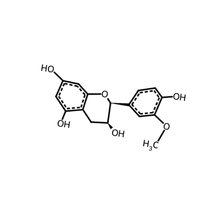 COc1cc([C@@H]2Oc3cc(O)cc(O)c3C[C@@H]2O)ccc1O